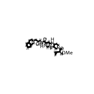 CO/N=C(\C(=O)N1CCC(Nc2cc(C(=O)NC[C@H](O)CN3CCc4ccccc4C3)ncn2)C(F)C1)C1CC1